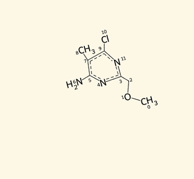 COCc1nc(N)c(C)c(Cl)n1